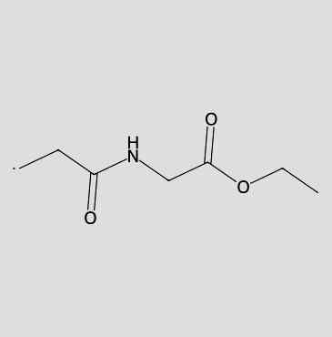 [CH2]CC(=O)NCC(=O)OCC